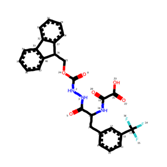 O=C(NNC(=O)C(Cc1cccc(C(F)(F)F)c1)NC(=O)C(=O)O)OCC1c2ccccc2-c2ccccc21